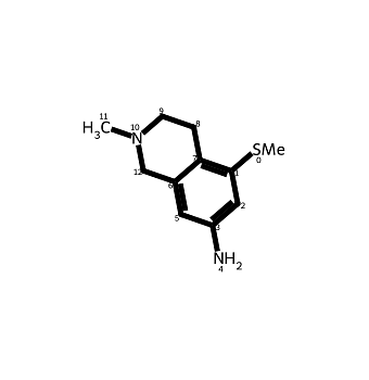 CSc1cc(N)cc2c1CCN(C)C2